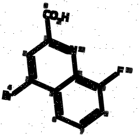 O=C(O)c1cc(Br)c2cccc(F)c2n1